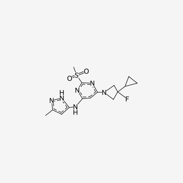 Cc1cc(Nc2cc(N3CC(F)(C4CC4)C3)nc(S(C)(=O)=O)n2)[nH]n1